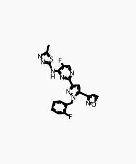 Cc1nnc(Nc2nc(-c3cc(-c4ccon4)n(Cc4ccccc4F)n3)ncc2F)s1